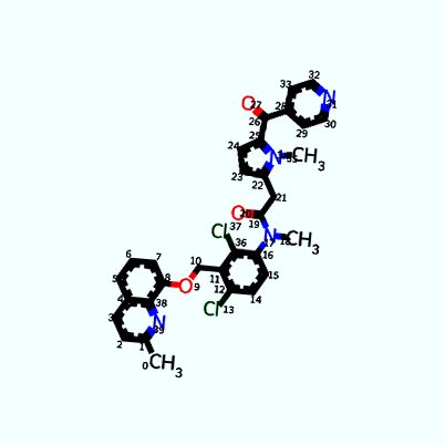 Cc1ccc2cccc(OCc3c(Cl)ccc(N(C)C(=O)Cc4ccc(C(=O)c5ccncc5)n4C)c3Cl)c2n1